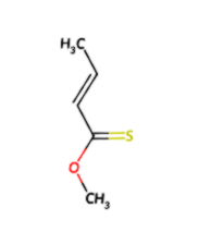 C/C=C/C(=S)OC